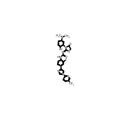 CC(C)c1ccc(N(C)C)cc1N1C(=O)CS/C1=N\C(=O)Nc1ccc(-c2cn(-c3ccc(C(F)(F)F)cn3)cn2)cc1F